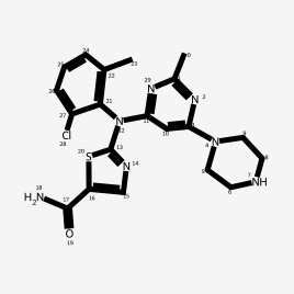 Cc1nc(N2CCNCC2)cc(N(c2ncc(C(N)=O)s2)c2c(C)cccc2Cl)n1